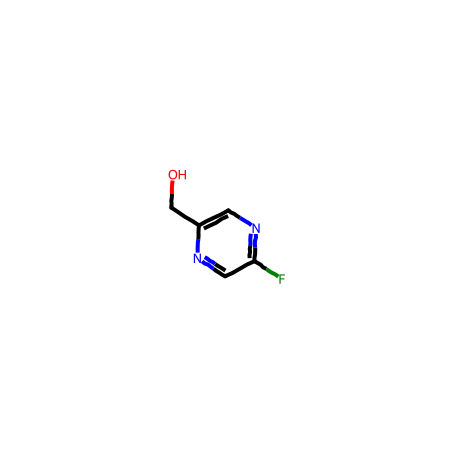 OCc1cnc(F)cn1